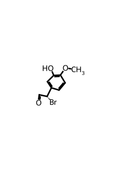 COc1ccc([C@H](Br)C=O)cc1O